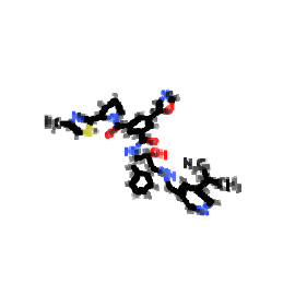 Cc1csc(C2CCCN2C(=O)c2cc(C(=O)N[C@@H](Cc3ccccc3)[C@H](O)CNCc3cncc(C(C)C)c3)cc(-c3cnco3)c2)n1